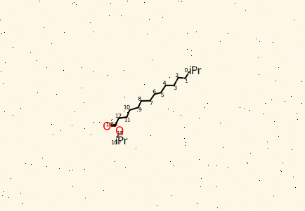 CC(C)CCCCCCCCCCCCC(=O)OC(C)C